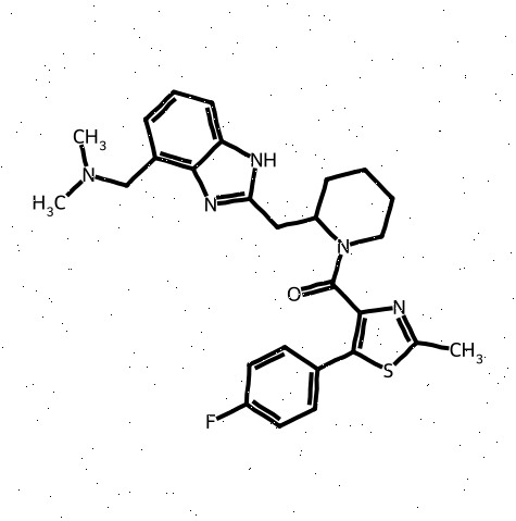 Cc1nc(C(=O)N2CCCCC2Cc2nc3c(CN(C)C)cccc3[nH]2)c(-c2ccc(F)cc2)s1